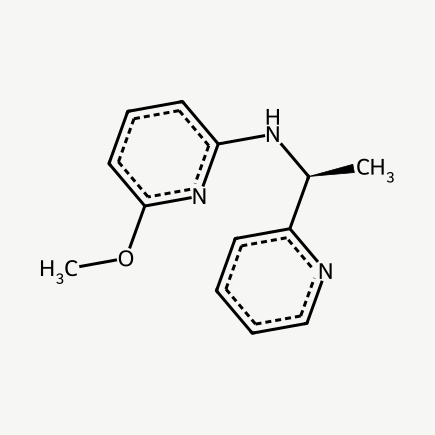 COc1cccc(N[C@@H](C)c2ccccn2)n1